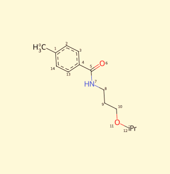 Cc1ccc(C(=O)NCCCOC(C)C)cc1